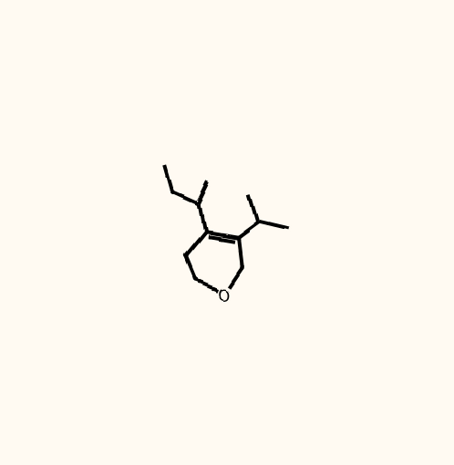 CCC(C)C1=C(C(C)C)COCC1